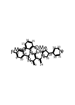 C=C1N=C(c2ccc(F)cc2)N(c2c(OC)cccc2OC)C(O)=C1C(=C)N1CCC(c2ccncc2)C1